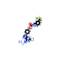 Nc1nc(Cl)nc2c1ncn2[C@H]1CC[C@@H](COC(=O)NCc2cccc(C(F)(F)F)c2)CC1